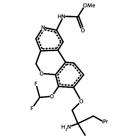 COC(=O)Nc1cc2c(cn1)COc1c-2ccc(OCC(C)(N)CC(C)C)c1OC(F)F